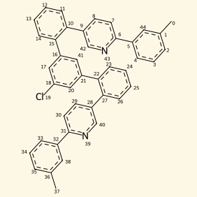 Cc1cccc(-c2ccc(-c3ccccc3-c3cc(Cl)cc(-c4ccccc4-c4ccc(-c5cccc(C)c5)nc4)c3)cn2)c1